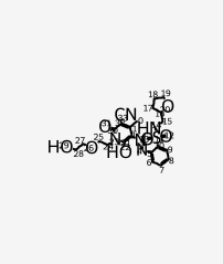 Cc1c(/N=N/c2ccccc2S(=O)(=O)NCC2CCCO2)c(O)n(CCOCCO)c(=O)c1C#N